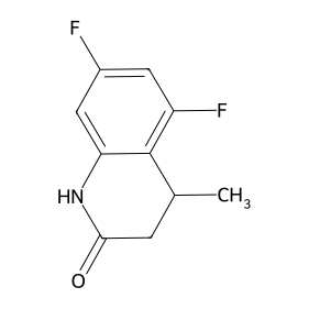 CC1CC(=O)Nc2cc(F)cc(F)c21